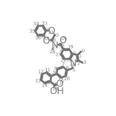 Cc1c(C)n(Cc2ccc(-c3ccccc3C(=O)O)cc2)c2ccc(C(=O)N(C)C3COc4ccccc4O3)cc12